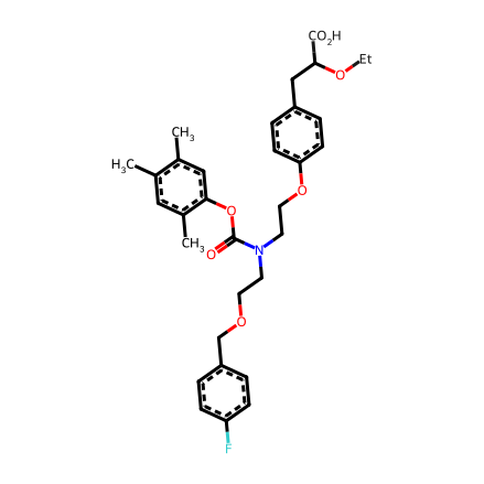 CCOC(Cc1ccc(OCCN(CCOCc2ccc(F)cc2)C(=O)Oc2cc(C)c(C)cc2C)cc1)C(=O)O